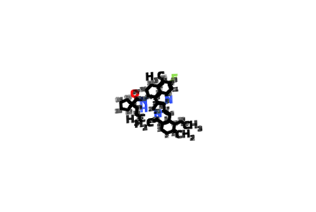 C=C1CCC2=C(C=C3c4nc5cc(F)c(C)c6c5c(c4CN3C2=C)C(NC(=O)C2(CCC)CCCC2)CC6)C1CC